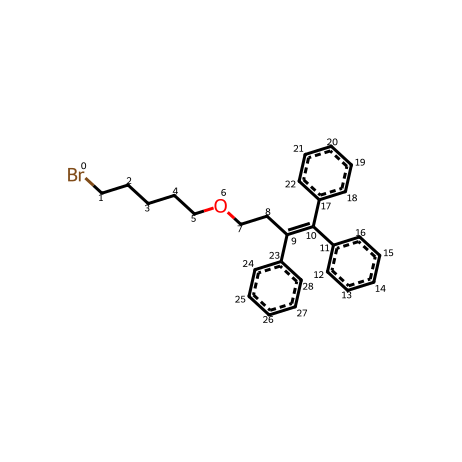 BrCCCCCOCCC(=C(c1ccccc1)c1ccccc1)c1ccccc1